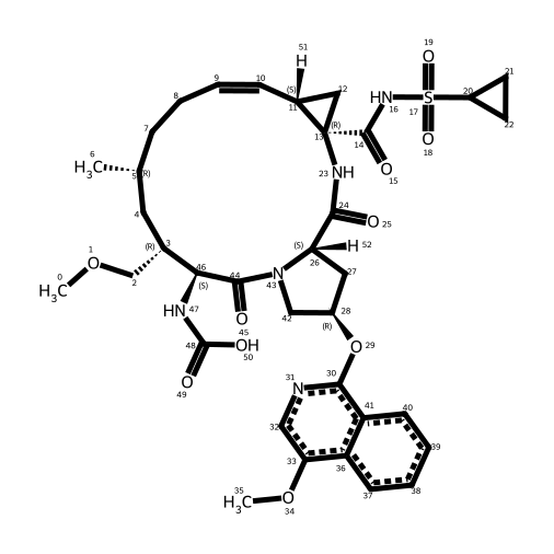 COC[C@@H]1C[C@H](C)CCC=C[C@@H]2C[C@@]2(C(=O)NS(=O)(=O)C2CC2)NC(=O)[C@@H]2C[C@@H](Oc3ncc(OC)c4ccccc34)CN2C(=O)[C@H]1NC(=O)O